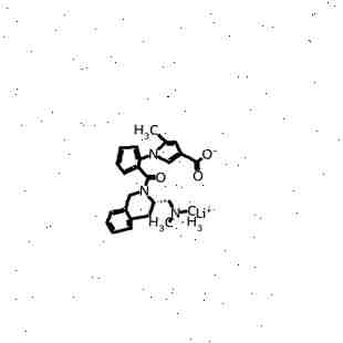 Cc1cc(C(=O)[O-])cn1-c1ccccc1C(=O)N1Cc2ccccc2C[C@H]1CN(C)C.[Li+]